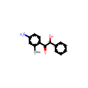 COc1cc(N)ccc1C(=O)C(O)c1ccccc1